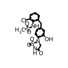 CS(=O)(=O)Nc1c(Cl)cccc1Cc1ccc(N2CC(=O)NS2(=O)=O)c(O)c1